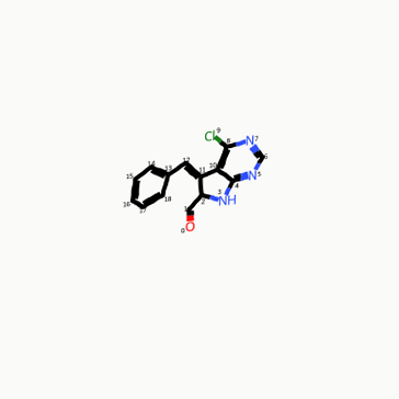 O=CC1Nc2ncnc(Cl)c2C1=Cc1ccccc1